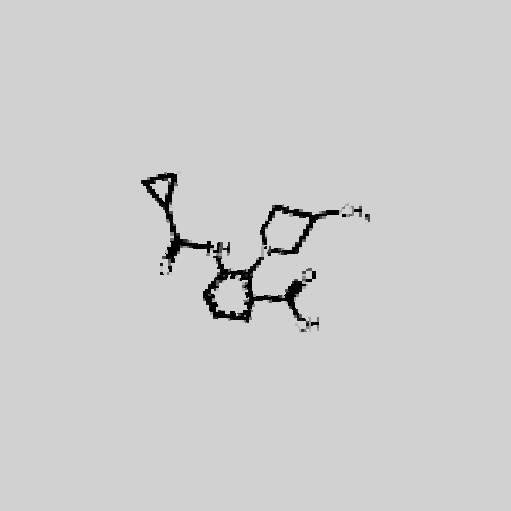 CC1CCN(c2c(NC(=O)C3CC3)cccc2C(=O)O)C1